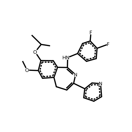 COc1cc2c(cc1OC(C)C)C(Nc1ccc(F)c(F)c1)=NC(c1cccnc1)=CC2